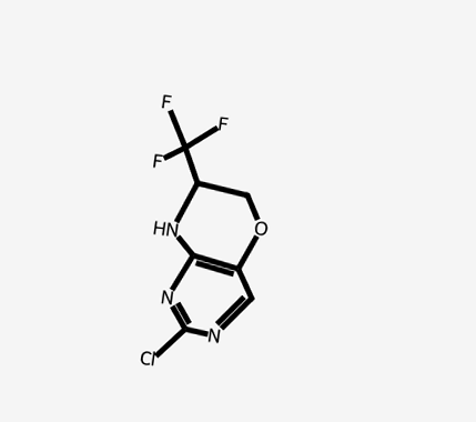 FC(F)(F)C1COc2cnc(Cl)nc2N1